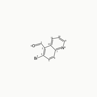 O=Cc1c(Br)ccc2ncccc12